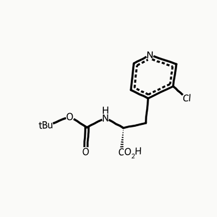 CC(C)(C)OC(=O)N[C@H](Cc1ccncc1Cl)C(=O)O